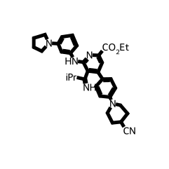 CCOC(=O)c1cc(-c2ccc(N3CCC(C#N)CC3)cc2)c(C(=N)C(C)C)c(Nc2cccc(N3CCCC3)c2)n1